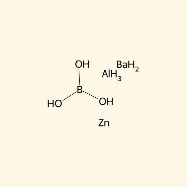 OB(O)O.[AlH3].[BaH2].[Zn]